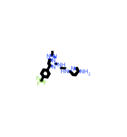 Cc1nc2cc(-c3ccc(C(F)(F)F)cc3)nc(NCCNc3ccc(N)cn3)n2n1